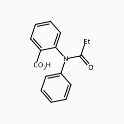 CCC(=O)N(c1ccccc1)c1ccccc1C(=O)O